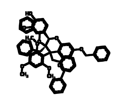 COc1cc(OC)c(C2(Cc3ccccc3)c3c(OCc4ccccc4)cc(OCc4ccccc4)cc3O[C@H](c3ccc(O)c(O)c3)[C@]2(Cc2ccccc2)OCc2ccccc2)c(OC)c1